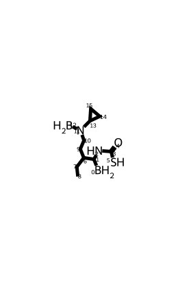 BC(NC(=O)S)C(CC)CCN(B)C1CC1